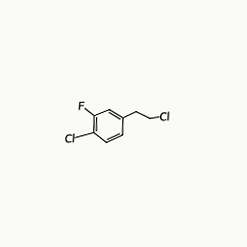 Fc1cc(CCCl)ccc1Cl